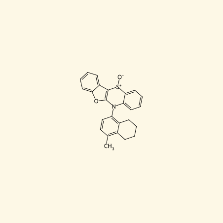 Cc1ccc(N2c3ccccc3[S+]([O-])c3c2oc2ccccc32)c2c1CCCC2